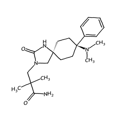 CN(C)[C@]1(c2ccccc2)CC[C@]2(CC1)CN(CC(C)(C)C(N)=O)C(=O)N2